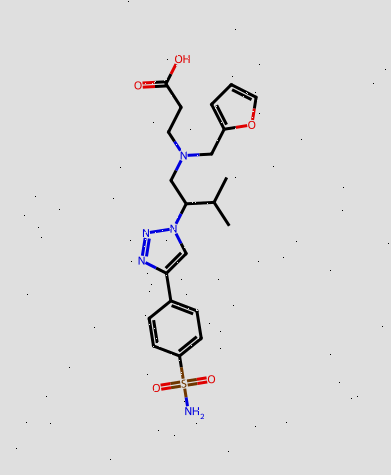 CC(C)C(CN(CCC(=O)O)Cc1ccco1)n1cc(-c2ccc(S(N)(=O)=O)cc2)nn1